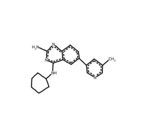 Cc1cncc(-c2ccc3nc(N)nc(NC4CCCCC4)c3c2)c1